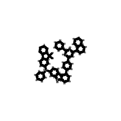 CC1(C)c2ccccc2-c2ccc(N(c3ccccc3)c3ccc4c(c3)oc3cccc(-c5ccc(-c6cc(-c7cccc8ccccc78)nc(-c7ccccc7)n6)cc5)c34)cc21